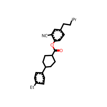 CCc1ccc(C2CCC(C(=O)Oc3ccc(CCC(C)C)cc3C#N)CC2)cc1